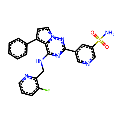 NS(=O)(=O)c1cncc(-c2nc(NCc3ncccc3F)c3c(-c4ccccc4)ccn3n2)c1